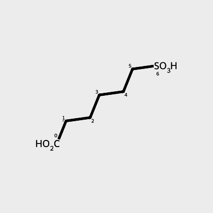 O=C(O)[CH]CCCCS(=O)(=O)O